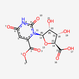 COC(=O)c1cc(=O)[nH]c(=O)n1[C@@H]1O[C@H](C(=O)O)[C@@H](O)[C@H]1O